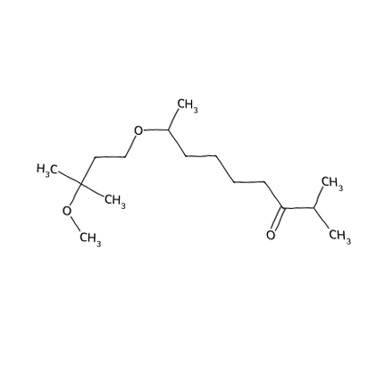 COC(C)(C)CCOC(C)CCCCC(=O)C(C)C